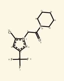 O=C(Cn1nc(C(F)(F)F)cc1Cl)N1CCCCC1